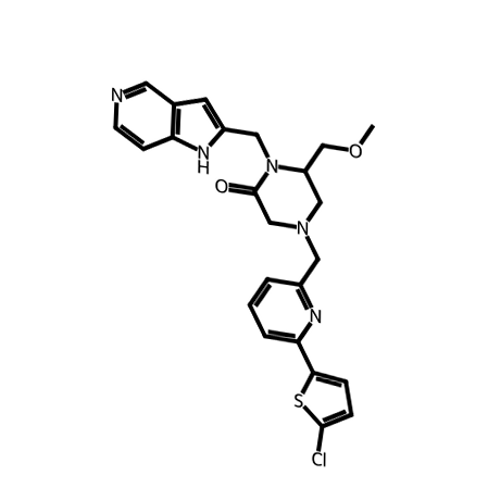 COCC1CN(Cc2cccc(-c3ccc(Cl)s3)n2)CC(=O)N1Cc1cc2cnccc2[nH]1